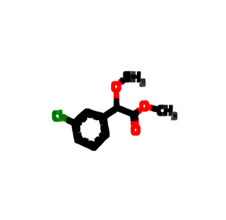 COC(=O)C(O[SiH3])c1cccc(Cl)c1